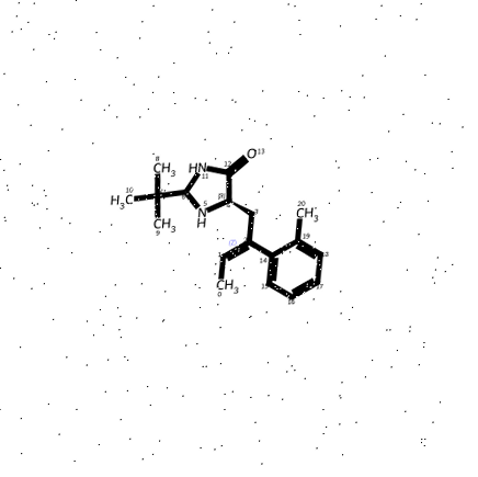 C/C=C(/C[C@H]1NC(C(C)(C)C)NC1=O)c1ccccc1C